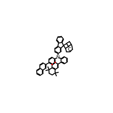 CC1(C)CCC(C)(C)c2cc(-c3ccccc3N(c3ccc(-c4ccc5ccccc5c4)cc3)c3ccc4c(c3)C3(c5ccccc5-4)C4CC5CC6CC3C64C5)ccc21